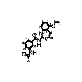 CCOc1cccc2c1C=CSC(NC(=O)c1cccc(NC(C)=O)c1)=N2